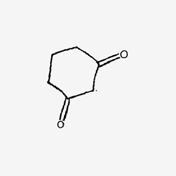 O=C1[CH]C(=O)CCC1